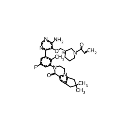 C=CC(=O)N1CCC[C@@H](COc2c(N)ncnc2-c2cc(F)cc(N3CCn4c(cc5c4CC(C)(C)C5)C3=O)c2C)C1